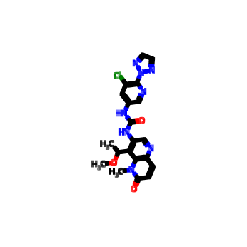 COC(C)c1c(NC(=O)Nc2cnc(-n3nccn3)c(Cl)c2)cnc2ccc(=O)n(C)c12